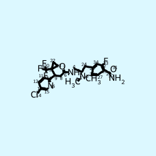 CN(C)C(CNC(=O)CC(c1ccc(Cl)cn1)C1(C(F)(F)F)CC1)Cc1ccc(C(N)=O)c(F)c1